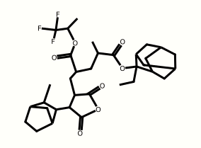 CCC1(OC(=O)C(C)CC(CC2C(=O)OC(=O)C2C2C3CCC(C3)C2C)C(=O)OC(C)C(F)(F)F)C2CC3CC(C2)CC1C3